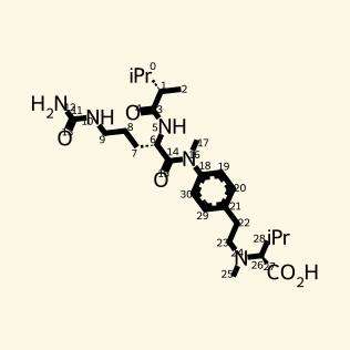 CC(C)[C@H](C)C(=O)N[C@@H](CCCNC(N)=O)C(=O)N(C)c1ccc(CCN(C)[C@H](C(=O)O)C(C)C)cc1